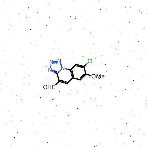 COc1cc2cc(C=O)c3nnnn3c2cc1Cl